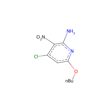 CCCCOc1cc(Cl)c([N+](=O)[O-])c(N)n1